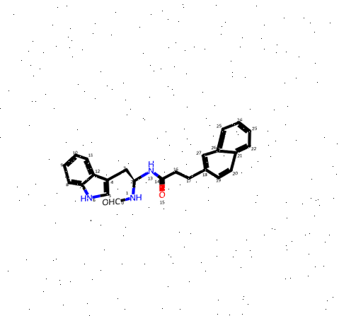 O=CN[C@@H](Cc1c[nH]c2ccccc12)NC(=O)CCc1ccc2ccccc2c1